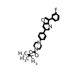 CC(C)(C)OC(=O)N1CCN(c2ccc(-c3cnc4c(-c5cccc(F)c5)coc4c3)cc2)CC1